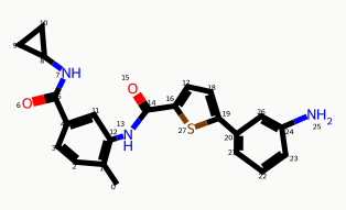 Cc1ccc(C(=O)NC2CC2)cc1NC(=O)c1ccc(-c2cccc(N)c2)s1